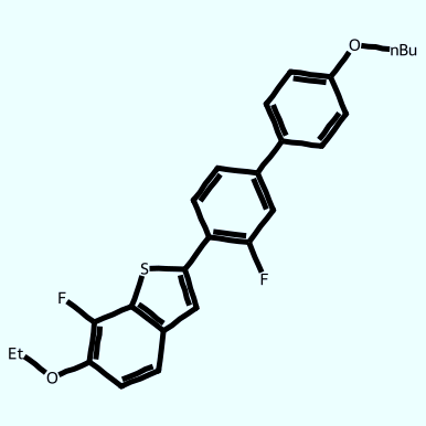 CCCCOc1ccc(-c2ccc(-c3cc4ccc(OCC)c(F)c4s3)c(F)c2)cc1